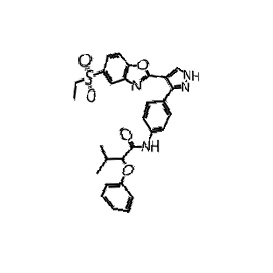 CCS(=O)(=O)c1ccc2oc(-c3c[nH]nc3-c3ccc(NC(=O)C(Oc4ccccc4)C(C)C)cc3)nc2c1